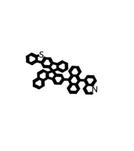 c1ccc2c(c1)-c1cc3sc4ccccc4c3cc1C21c2cc(-c3c4ccccc4c(-c4cccc5ncccc45)c4ccccc34)ccc2-c2c1ccc1ccccc21